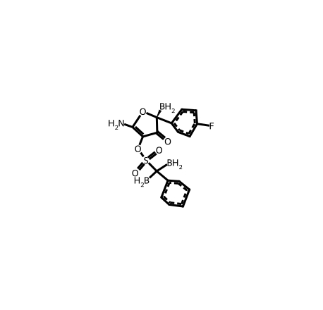 BC(B)(c1ccccc1)S(=O)(=O)OC1=C(N)O[C@](B)(c2ccc(F)cc2)C1=O